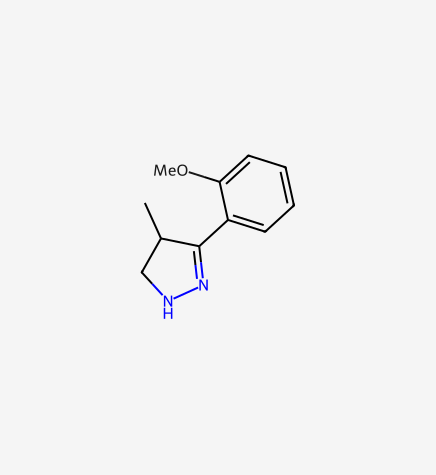 COc1ccccc1C1=NNCC1C